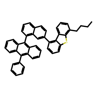 CCCCc1cccc2c1sc1cccc(-c3ccc4cccc(-c5c6ccccc6c(-c6ccccc6)c6ccccc56)c4c3)c12